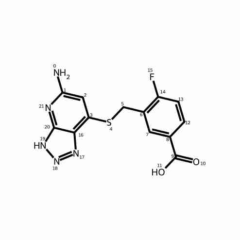 Nc1cc(SCc2cc(C(=O)O)ccc2F)c2nn[nH]c2n1